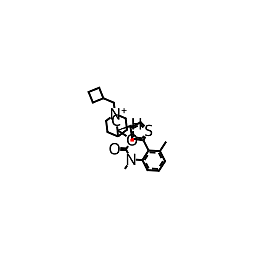 Cc1cccc(N(C)C(=O)O[C@H]2C[N+]3(CC4CCC4)CCC2CC3)c1-c1cccs1